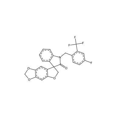 O=C1N(Cc2ccc(F)cc2C(F)(F)F)c2ccccc2C12COc1cc3c(cc12)OCO3